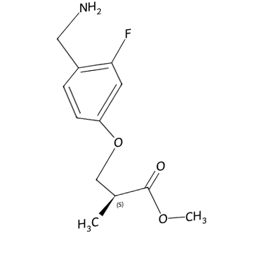 COC(=O)[C@@H](C)COc1ccc(CN)c(F)c1